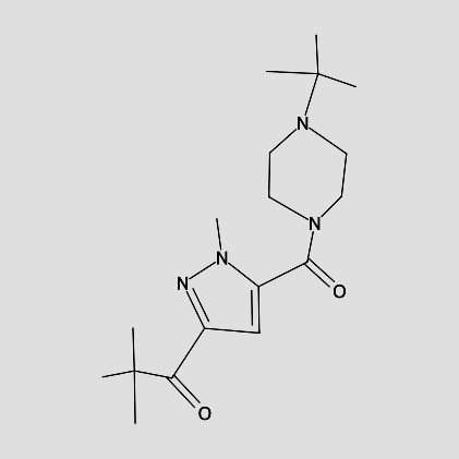 Cn1nc(C(=O)C(C)(C)C)cc1C(=O)N1CCN(C(C)(C)C)CC1